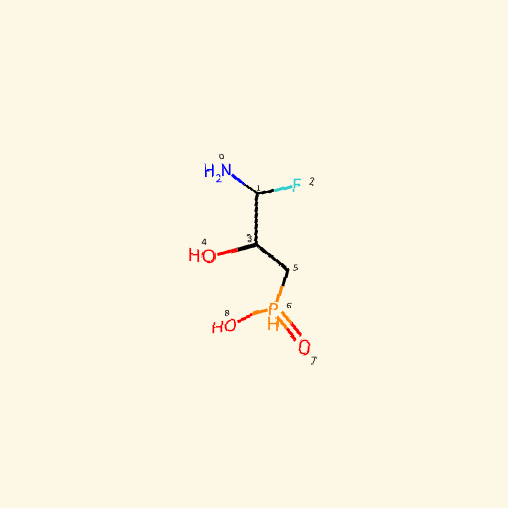 NC(F)C(O)C[PH](=O)O